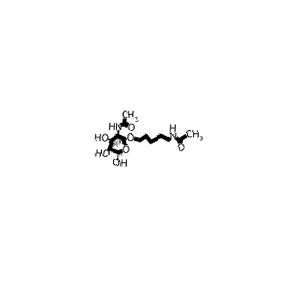 CC(=O)NCCCCCO[C@@H]1O[C@H](O)[C@H](O)[C@H](O)[C@H]1NC(C)=O